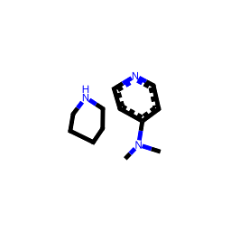 C1CCNCC1.CN(C)c1ccncc1